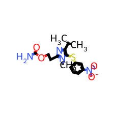 CC(C)c1nc(CCOC(N)=O)n(C)c1Sc1cccc([N+](=O)[O-])c1